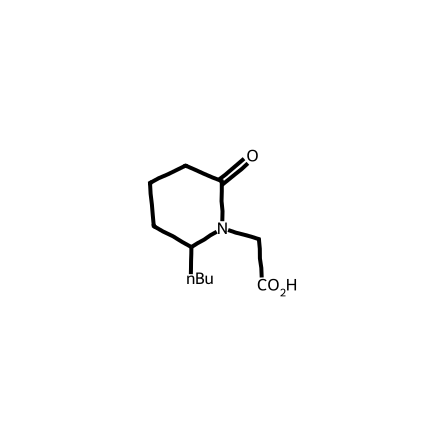 CCCCC1CCCC(=O)N1CC(=O)O